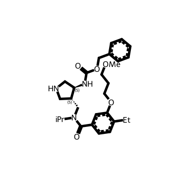 CCc1ccc(C(=O)N(C[C@@H]2CNC[C@H]2NC(=O)OCc2ccccc2)C(C)C)cc1OCCCOC